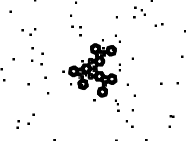 c1ccc(-n2c3ccccc3c3cc4c(cc32)Oc2c3c(cc5c6ccccc6n(-c6ccccc6)c25)Oc2c(ccc5c2c2ccccc2n5-c2ccccc2)B43)cc1